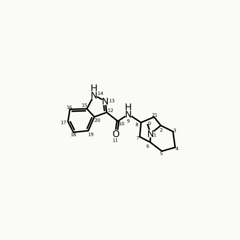 CN1C2CCCC1CC(NC(=O)c1n[nH]c3ccccc13)C2